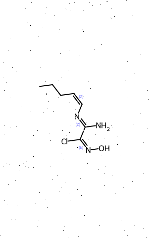 CCC\C=C/N=C(N)/C(Cl)=N\O